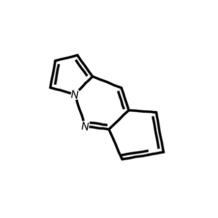 c1ccc2nn3cccc3cc2c1